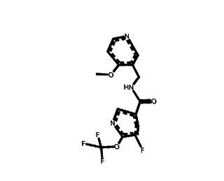 COc1ccncc1CNC(=O)c1cnc(OC(F)(F)F)c(F)c1